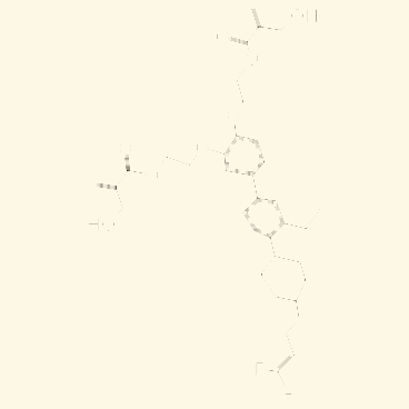 C=C(CO)C(=O)OCCOc1ccc(-c2ccc(C3CCC(CCC=C(F)F)CC3)c(CC)c2)cc1OCCOC(=O)C(=C)CO